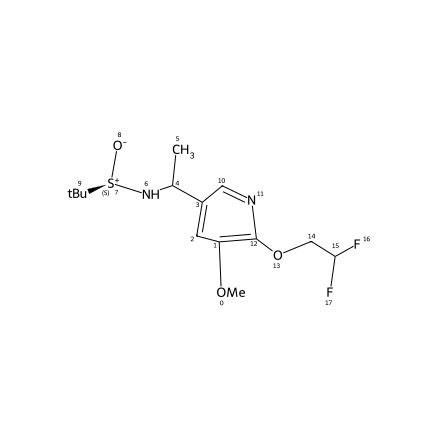 COc1cc(C(C)N[S@+]([O-])C(C)(C)C)cnc1OCC(F)F